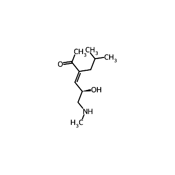 CNC[C@H](O)/C=C(\CC(C)C)C(C)=O